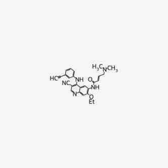 C#Cc1cccc(Nc2c(C#N)cnc3cc(OCC)c(NC(=O)C=CCN(C)C)cc23)c1